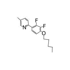 CCCCCOc1ccc(-c2ccc(C)cn2)c(F)c1F